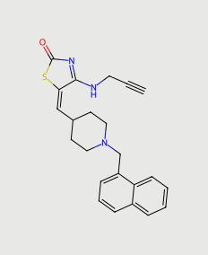 C#CCNC1=NC(=O)SC1=CC1CCN(Cc2cccc3ccccc23)CC1